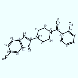 O=C(c1ccccc1F)N1CCN(c2nc3ccc(F)cc3s2)CC1